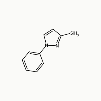 [SiH3]c1ccn(-c2ccccc2)n1